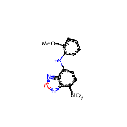 COc1ccccc1Nc1ccc([N+](=O)[O-])c2nonc12